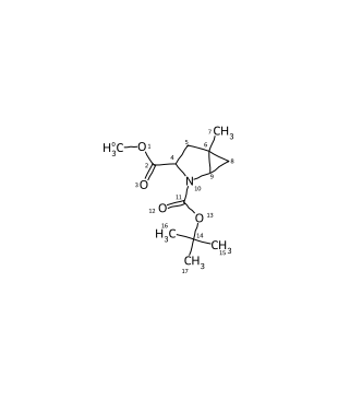 COC(=O)C1CC2(C)CC2N1C(=O)OC(C)(C)C